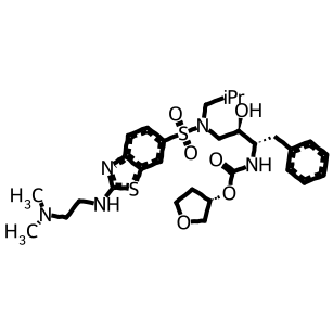 CC(C)CN(C[C@@H](O)[C@H](Cc1ccccc1)NC(=O)O[C@H]1CCOC1)S(=O)(=O)c1ccc2nc(NCCN(C)C)sc2c1